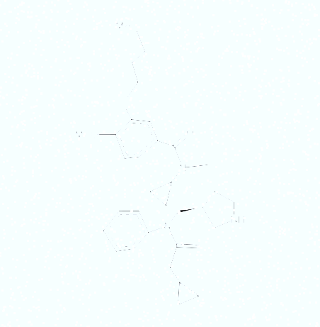 COCCCOc1cc(C(=O)N(C[C@@H]2CNC[C@H]2CN(C(=O)CC2CC2)c2ccccc2)C2CC2)ccc1OC